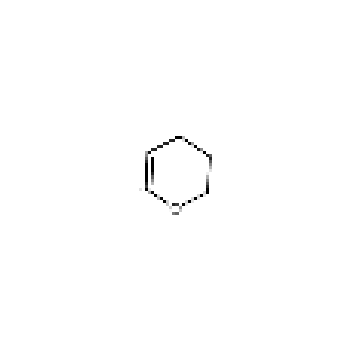 [C]1=CCCCO1